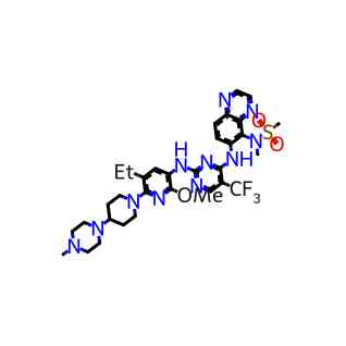 CCc1cc(Nc2ncc(C(F)(F)F)c(Nc3ccc4nccnc4c3N(C)S(C)(=O)=O)n2)c(OC)nc1N1CCC(N2CCN(C)CC2)CC1